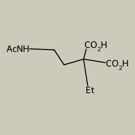 CCC(CCNC(C)=O)(C(=O)O)C(=O)O